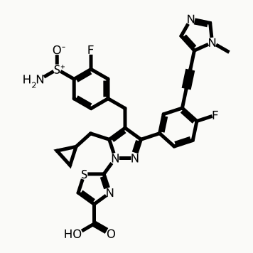 Cn1cncc1C#Cc1cc(-c2nn(-c3nc(C(=O)O)cs3)c(CC3CC3)c2Cc2ccc([S+](N)[O-])c(F)c2)ccc1F